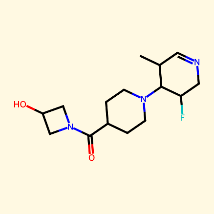 CC1C=NCC(F)C1N1CCC(C(=O)N2CC(O)C2)CC1